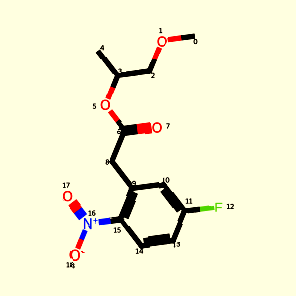 COCC(C)OC(=O)Cc1cc(F)ccc1[N+](=O)[O-]